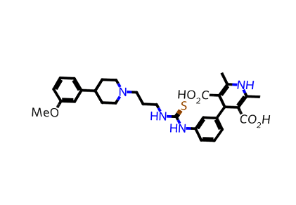 COc1cccc(C2CCN(CCCNC(=S)Nc3cccc(C4C(C(=O)O)=C(C)NC(C)=C4C(=O)O)c3)CC2)c1